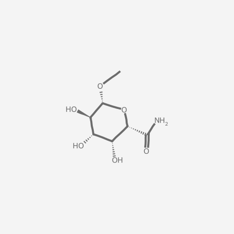 CO[C@@H]1O[C@H](C(N)=O)[C@H](O)[C@H](O)[C@H]1O